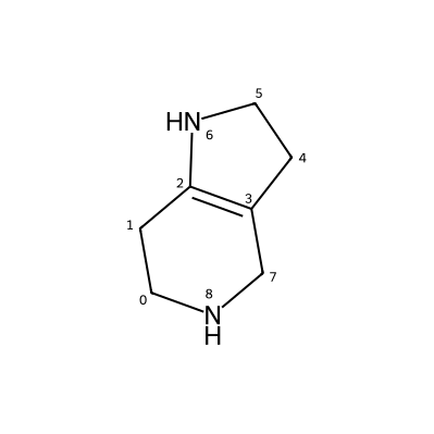 C1CC2=C(CCN2)CN1